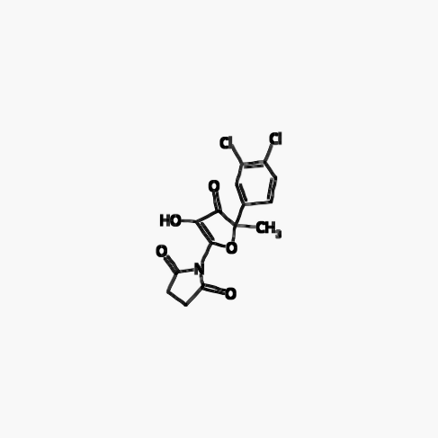 CC1(c2ccc(Cl)c(Cl)c2)OC(N2C(=O)CCC2=O)=C(O)C1=O